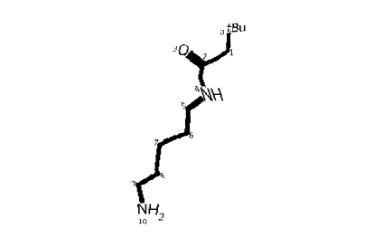 CC(C)(C)CC(=O)NCCCCCN